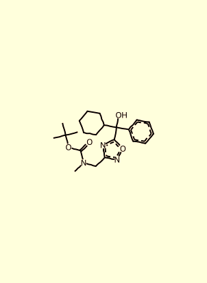 CN(Cc1noc(C(O)(c2ccccc2)C2CCCCC2)n1)C(=O)OC(C)(C)C